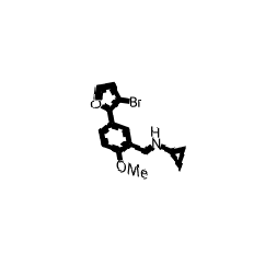 COc1ccc(-c2occc2Br)cc1CNC1CC1